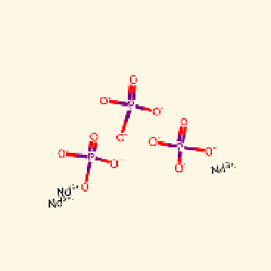 O=P([O-])([O-])[O-].O=P([O-])([O-])[O-].O=P([O-])([O-])[O-].[Nd+3].[Nd+3].[Nd+3]